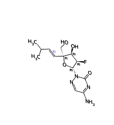 CC(C)/C=C/[C@]1(CO)O[C@@H](n2ncc(N)nc2=O)[C@H](F)[C@@H]1O